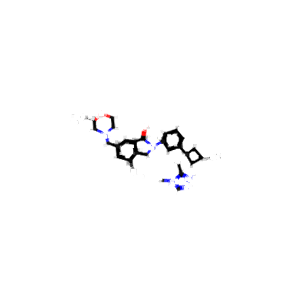 Cn1cnnc1C[C@]1(c2cccc(N3Cc4c(cc(CN5CCO[C@H](C(F)(F)F)C5)cc4C(F)(F)F)C3=O)c2)C[C@H](C#N)C1